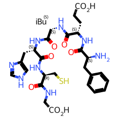 CC[C@H](C)[C@H](NC(=O)[C@H](CCC(=O)O)NC(=O)[C@@H](N)Cc1ccccc1)C(=O)N[C@@H](Cc1c[nH]cn1)C(=O)N[C@@H](CS)C(=O)NCC(=O)O